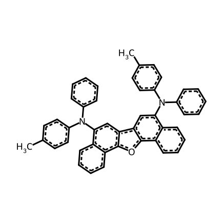 Cc1ccc(N(c2ccccc2)c2cc3c4cc(N(c5ccccc5)c5ccc(C)cc5)c5ccccc5c4oc3c3ccccc23)cc1